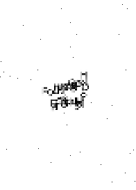 CC(=O)Nc1ccc(S(=O)(=O)N2CCN(c3nc(Cc4ccc(F)cc4)ns3)CC2C)cc1.Cc1ccc(Cc2nsc(N3CCN(S(=O)(=O)c4cccc(C(F)(F)F)c4)C(C)C3)n2)cc1